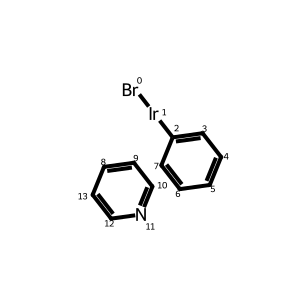 [Br][Ir][c]1ccccc1.c1ccncc1